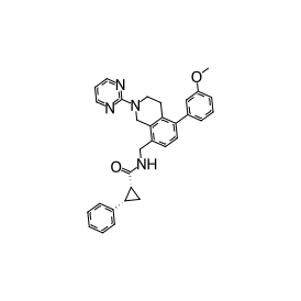 COc1cccc(-c2ccc(CNC(=O)[C@@H]3C[C@@H]3c3ccccc3)c3c2CCN(c2ncccn2)C3)c1